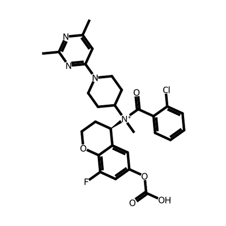 Cc1cc(N2CCC([N+](C)(C(=O)c3ccccc3Cl)[C@@H]3CCOc4c(F)cc(OC(=O)O)cc43)CC2)nc(C)n1